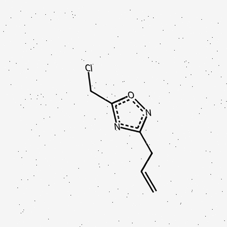 C=CCc1noc(CCl)n1